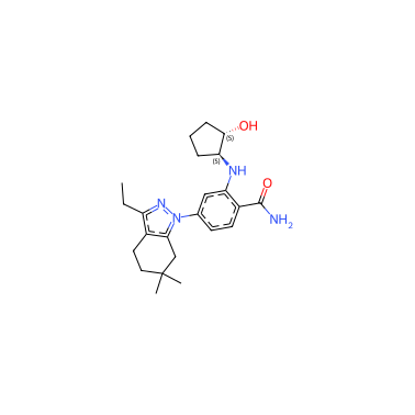 CCc1nn(-c2ccc(C(N)=O)c(N[C@H]3CCC[C@@H]3O)c2)c2c1CCC(C)(C)C2